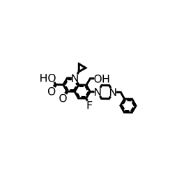 O=C(O)c1cn(C2CC2)c2c(CO)c(N3CCN(Cc4ccccc4)CC3)c(F)cc2c1=O